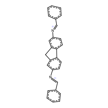 C(=N\c1ccc2c(c1)Cc1cc(/N=C/c3ccccc3)ccc1-2)/c1ccccc1